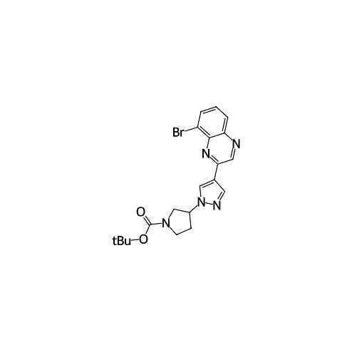 CC(C)(C)OC(=O)N1CCC(n2cc(-c3cnc4cccc(Br)c4n3)cn2)C1